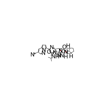 CC(=O)N1CCN(C(=O)NC2[C@@H]3CC[C@H]2CN(c2nnc(-c4cnc(-c5ccc6cc(C#N)cnn56)cc4NC(C)C)s2)C3)CC1